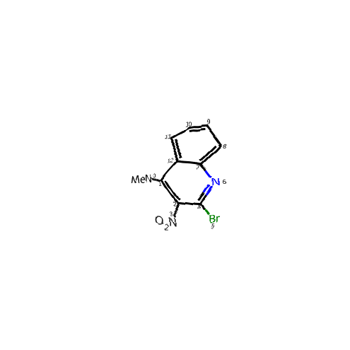 CNc1c([N+](=O)[O-])c(Br)nc2ccccc12